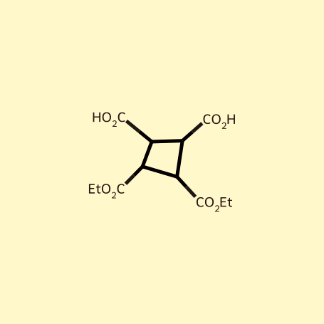 CCOC(=O)C1C(C(=O)O)C(C(=O)O)C1C(=O)OCC